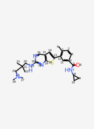 Cc1ccc(C(=O)NC2CC2)cc1-c1cc2cnc(NCC(C)(C)CN(C)C)nc2s1